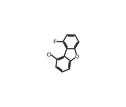 Fc1cccc2oc3cccc(Cl)c3c12